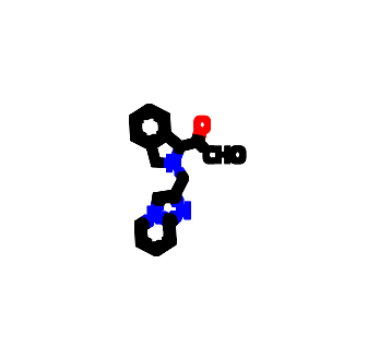 O=CC(=O)C1c2ccccc2CN1Cc1cn2ccccc2n1